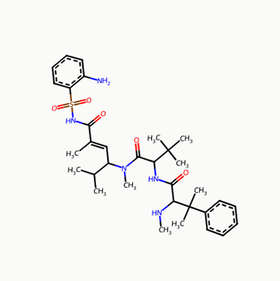 CNC(C(=O)NC(C(=O)N(C)C(/C=C(\C)C(=O)NS(=O)(=O)c1ccccc1N)C(C)C)C(C)(C)C)C(C)(C)c1ccccc1